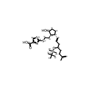 C=C(C)CCC(CC=C[C@H]1CC[C@H](O)[C@@H]1CCSc1nc(C(=O)O)cs1)O[Si](C)(C)C(C)(C)C